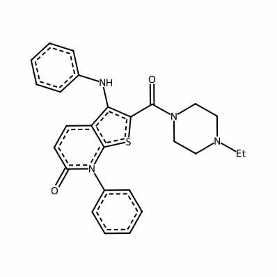 CCN1CCN(C(=O)c2sc3c(ccc(=O)n3-c3ccccc3)c2Nc2ccccc2)CC1